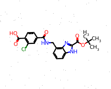 CC(C)(C)OC(=O)c1nc2c(CNC(=O)c3ccc(C(=O)O)c(Cl)c3)cccc2[nH]1